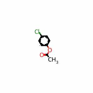 CC(=O)Oc1[c]cc(Cl)cc1